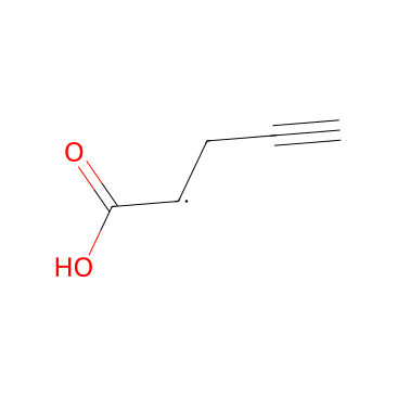 C#CC[CH]C(=O)O